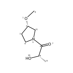 CO[C@H]1CCN(C(=O)[C@H](C)O)C1